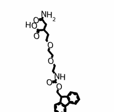 NC(=O)CC(CCOCCOCCNC(=O)OCC1c2ccccc2-c2ccccc21)C(=O)O